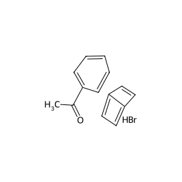 Br.CC(=O)c1ccccc1.c1cc2ccc1-2